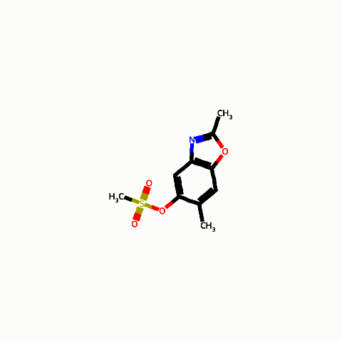 Cc1nc2cc(OS(C)(=O)=O)c(C)cc2o1